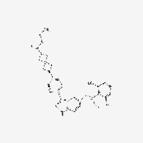 CCOC(=O)N1CC2(C1)CN(c1ncc(-c3n[nH]c4ccc(O[C@H](C)c5c(C)cnnc5C)cc34)cn1)C2